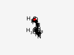 CC1(C)C(=O)N(c2cnc(C#N)c(C(F)(F)F)c2)C(=O)N1C/C=C\Cn1cc(-c2ccc(S(C)(=O)=O)c(C(F)(F)F)c2)cn1